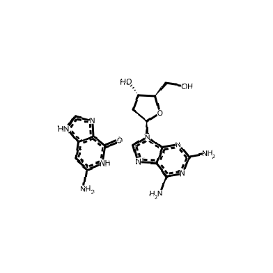 Nc1cc2[nH]cnc2c(=O)[nH]1.Nc1nc(N)c2ncn([C@H]3C[C@H](O)[C@@H](CO)O3)c2n1